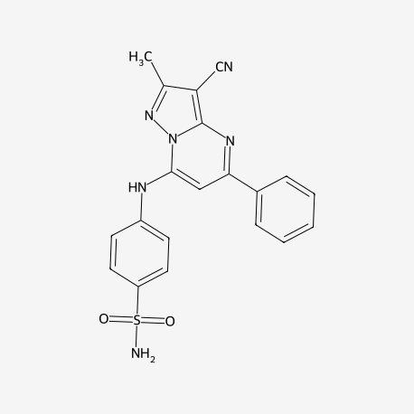 Cc1nn2c(Nc3ccc(S(N)(=O)=O)cc3)cc(-c3ccccc3)nc2c1C#N